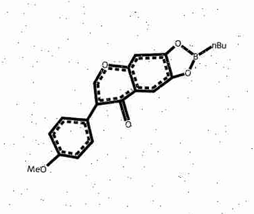 CCCCB1Oc2cc3occ(-c4ccc(OC)cc4)c(=O)c3cc2O1